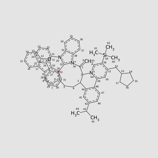 C=C1C2C(CCc3ccc4c(oc5ccccc54)c3-c3n(-c4ccccc4-c4ccccc4)c4ccccc4[n+]31)c1cc(C(C)C)ccc1-c1cc(CC3CCCC3)c([Si](C)(C)C)c[n+]12